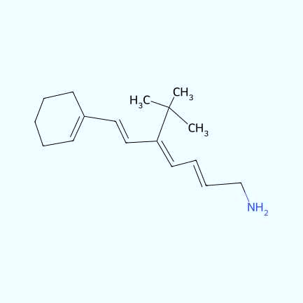 CC(C)(C)C(=C\C=C\CN)/C=C/C1=CCCCC1